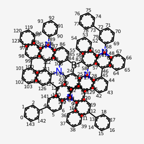 c1ccc(-c2ccc(N(c3ccc(-c4ccccc4)cc3)c3cc4c5c(c3)N(c3c(-c6cccc(-c7ccccc7)c6)cccc3-c3cccc(-c6ccccc6)c3)c3cc(N(c6ccccc6)c6cccc(-c7ccccc7)c6)ccc3B5c3ccc(N(c5ccccc5)c5cccc(-c6ccccc6)c5)cc3N4c3c(-c4cccc(-c5ccccc5)c4)cccc3-c3cccc(-c4ccccc4)c3)cc2)cc1